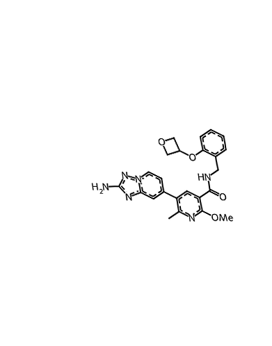 COc1nc(C)c(-c2ccn3nc(N)nc3c2)cc1C(=O)NCc1ccccc1OC1COC1